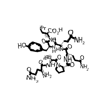 CC[C@H](C)[C@H](NC(=O)[C@@H](N)CCC(N)=O)C(=O)N1CCC[C@H]1C(=O)N[C@@H](CCC(N)=O)C(=O)N[C@@H](CCC(N)=O)C(=O)N[C@@H](Cc1ccc(O)cc1)C(=O)N[C@@H](CC(C)C)C(=O)O